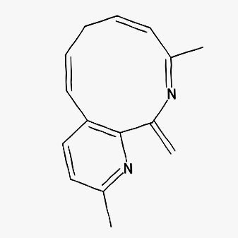 C=C1/N=C(C)\C=C/C/C=C\c2ccc(C)nc21